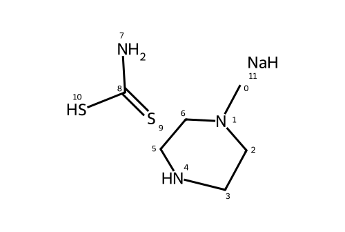 CN1CCNCC1.NC(=S)S.[NaH]